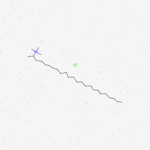 CCCCCCCCCCCCCCCCCCCCCCC(C)[N+](C)(C)C.[Cl-]